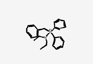 CCN(CC)[PH](Cc1ccccc1)(c1ccccc1)c1ccccc1